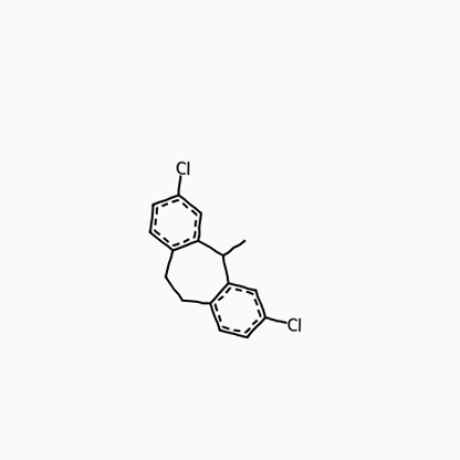 CC1c2cc(Cl)ccc2CCc2ccc(Cl)cc21